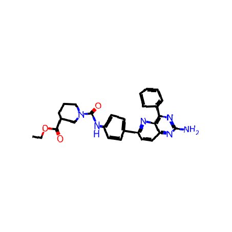 CCOC(=O)C1CCCN(C(=O)Nc2ccc(-c3ccc4nc(N)nc(-c5ccccc5)c4n3)cc2)C1